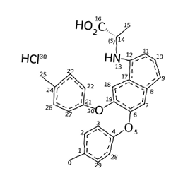 Cc1ccc(Oc2cc3cccc(N[C@@H](C)C(=O)O)c3cc2Oc2ccc(C)cc2)cc1.Cl